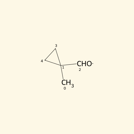 CC1([C]=O)CC1